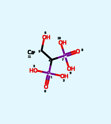 O=P(O)(O)C(CO)P(=O)(O)O.[Ca]